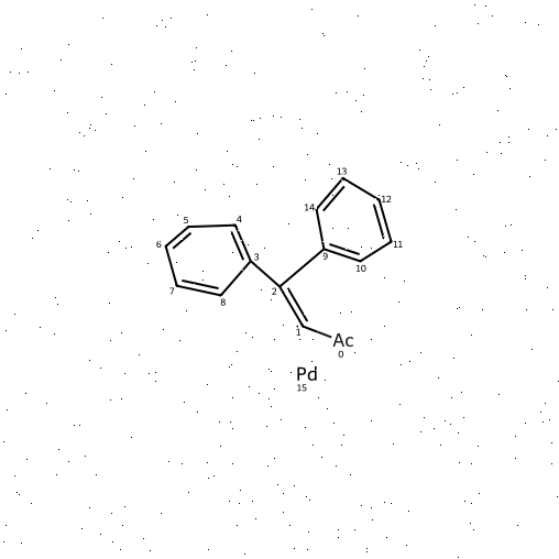 CC(=O)[C]=C(c1ccccc1)c1ccccc1.[Pd]